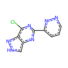 Clc1nc(-c2cccnn2)nc2c[nH]nc12